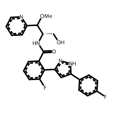 COC(c1ccccn1)[C@H](CO)NC(=O)c1cccc(F)c1-c1cc(-c2ccc(F)cc2)[nH]n1